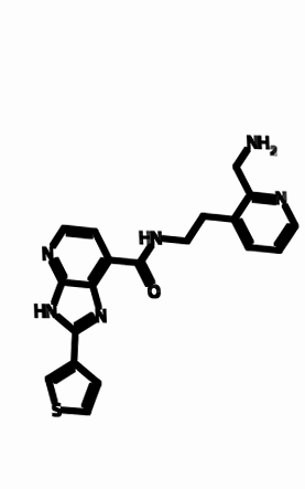 NCc1ncccc1CCNC(=O)c1ccnc2[nH]c(-c3ccsc3)nc12